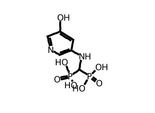 O=P(O)(O)C(Nc1cncc(O)c1)P(=O)(O)O